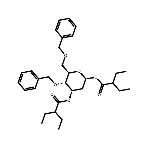 CCC(CC)C(=O)O[C@H]1C[C@@H](OC(=O)C(CC)CC)[C@H](OCc2ccccc2)[C@@H](COCc2ccccc2)O1